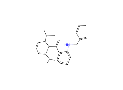 C=C(/C=C\C)CNc1ccccc1C(=C)C1C(C(C)C)=CC=CC1C(C)C